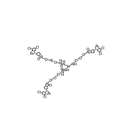 CN1Cc2c(Cl)cc(Cl)cc2C(c2ccc3c(c2)C(=O)N(CCOCCOCCOCCNCCN(CCNC(=O)NCCOCCOCCOCCN2Cc4ccc(C5CN(C)Cc6c(Cl)cc(Cl)cc65)cc4C2=O)CCNC(=O)NCCOCCOCCOCCN2Cc4ccc(C5CN(C)Cc6c(Cl)cc(Cl)cc65)cc4C2=O)C3)C1